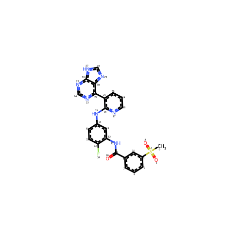 CS(=O)(=O)c1cccc(C(=O)Nc2cc(Nc3ncccc3-c3ncnc4[nH]cnc34)ccc2F)c1